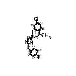 CC(CNc1nc(Cc2ccc(F)cc2)ns1)c1ccc(Cl)cc1